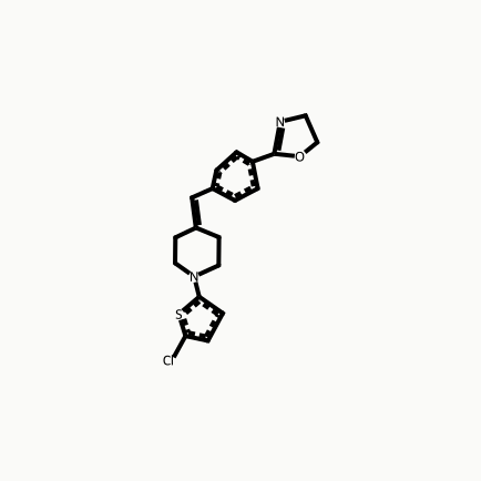 Clc1ccc(N2CCC(=Cc3ccc(C4=NCCO4)cc3)CC2)s1